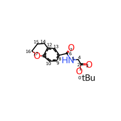 CC(C)(C)OC(=O)CNC(=O)c1ccc2c(c1)CCCO2